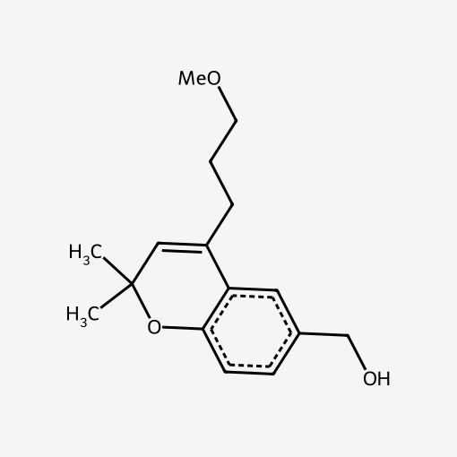 COCCCC1=CC(C)(C)Oc2ccc(CO)cc21